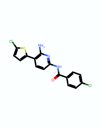 Nc1nc(NC(=O)c2ccc(Cl)cc2)ccc1-c1ccc(Cl)s1